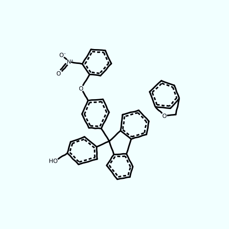 O=[N+]([O-])c1ccccc1Oc1ccc(C2(c3ccc(O)cc3)c3ccccc3-c3ccccc32)cc1.c1cc2cc(c1)OC2